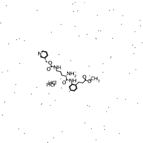 COC(=O)CCc1ccccc1NC(=O)[C@@H](N)CCCNC(=O)OCc1cccnc1.Cl.Cl